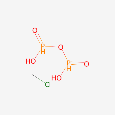 CCl.O=[PH](O)O[PH](=O)O